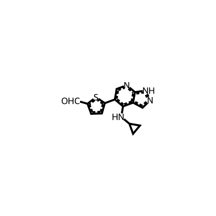 O=Cc1ccc(-c2cnc3[nH]ncc3c2NC2CC2)s1